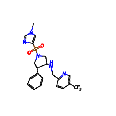 Cn1cnc(S(=O)(=O)N2CC(NCc3ccc(C(F)(F)F)cn3)C(c3ccccc3)C2)c1